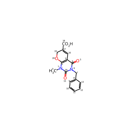 Cn1c2c(c(=O)n(Cc3ccccc3)c1=O)C=C(C(=O)O)CO2